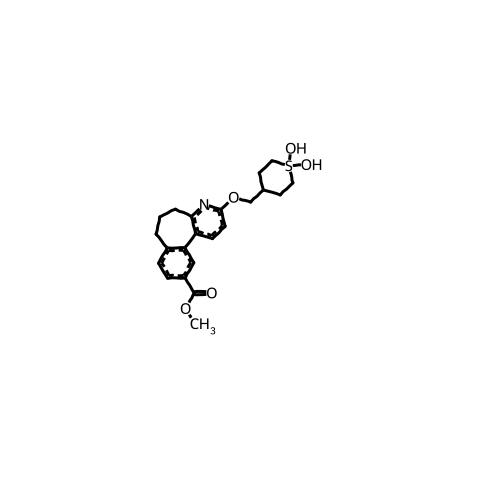 COC(=O)c1ccc2c(c1)-c1ccc(OCC3CCS(O)(O)CC3)nc1CCC2